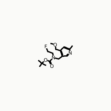 COCc1cc(C)ncc1CN(CCF)C(=O)OC(C)(C)C